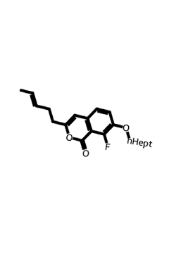 C/C=C/CCc1cc2ccc(OCCCCCCC)c(F)c2c(=O)o1